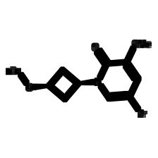 CCCCO[C@H]1C[C@@H](n2cc(Br)cc(OC)c2=O)C1